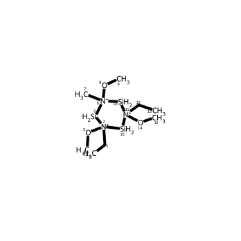 CC[N+]1(OC)[SiH2][N+](C)(OC)[SiH2][N+](CC)(OC)[SiH2]1